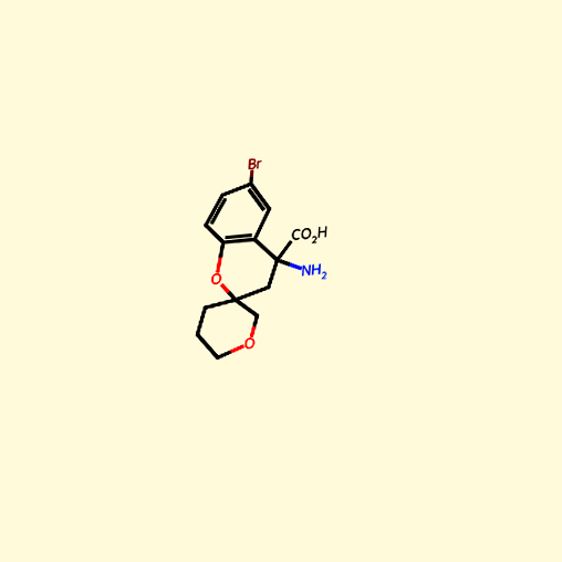 NC1(C(=O)O)CC2(CCCOC2)Oc2ccc(Br)cc21